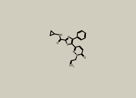 C=CCn1nc(-c2sc(C(=O)NC3CC3)nc2-c2ccccc2)ccc1=O